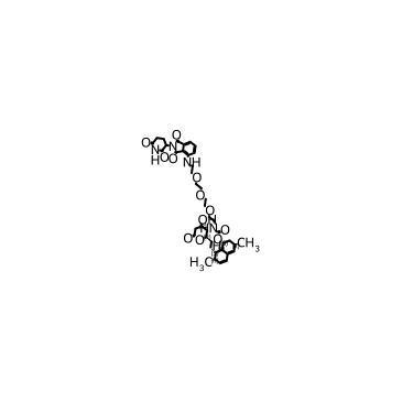 C[C@H]1C=C2C=C[C@H](C)[C@H](CC[C@@H]3C[C@@H](O)CC(=O)O3)[C@H]2[C@@H](OC(=O)NCCOCCOCCOCCNc2cccc3c2C(=O)N(C2CCC(=O)NC2=O)C3=O)C1